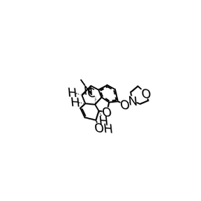 CN1CC[C@]23c4c5ccc(ON6CCOCC6)c4O[C@H]2[C@@H](O)C=C[C@H]3[C@H]1C5